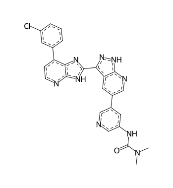 CN(C)C(=O)Nc1cncc(-c2cnc3[nH]nc(-c4nc5c(-c6cccc(Cl)c6)ccnc5[nH]4)c3c2)c1